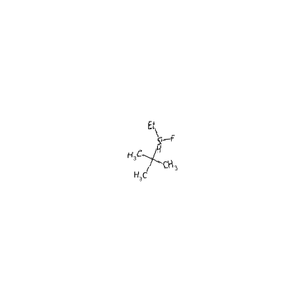 CC[SiH](F)C(C)(C)C